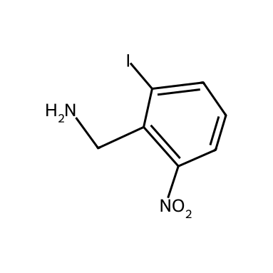 NCc1c(I)cccc1[N+](=O)[O-]